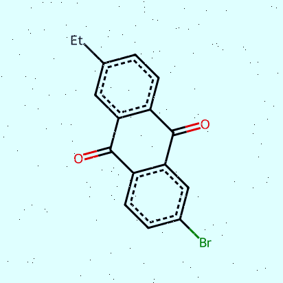 CCc1ccc2c(c1)C(=O)c1ccc(Br)cc1C2=O